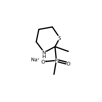 CC1(P(C)(=O)[O-])NCCCS1.[Na+]